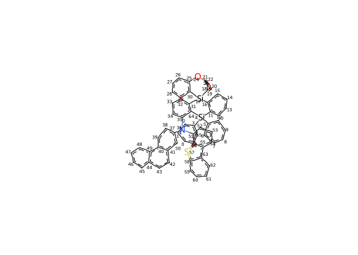 c1ccc([Si]2(c3ccccc3)c3ccccc3[Si]3(c4ccccc4Oc4ccccc43)c3cccc(N(c4ccc5c(ccc6ccccc65)c4)c4cccc5c4sc4ccccc45)c32)cc1